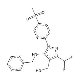 CS(=O)(=O)c1ccc(-n2nc(C(F)F)c(CO)c2NCc2ccccc2)nc1